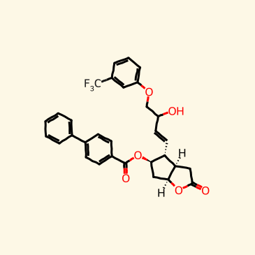 O=C1C[C@@H]2[C@@H](/C=C/C(O)COc3cccc(C(F)(F)F)c3)[C@H](OC(=O)c3ccc(-c4ccccc4)cc3)C[C@@H]2O1